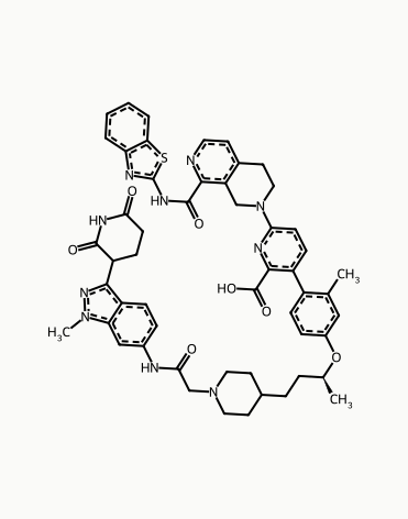 Cc1cc(O[C@@H](C)CCC2CCN(CC(=O)Nc3ccc4c(C5CCC(=O)NC5=O)nn(C)c4c3)CC2)ccc1-c1ccc(N2CCc3ccnc(C(=O)Nc4nc5ccccc5s4)c3C2)nc1C(=O)O